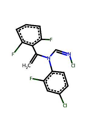 C=C(c1c(F)cccc1F)N(/C=N\Cl)c1ccc(Cl)cc1F